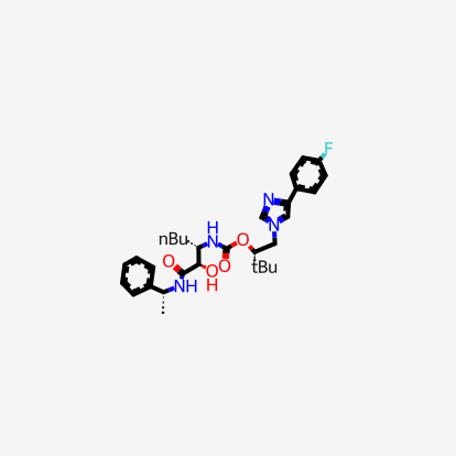 CCCC[C@H](NC(=O)O[C@H](Cn1cnc(-c2ccc(F)cc2)c1)C(C)(C)C)[C@@H](O)C(=O)N[C@H](C)c1ccccc1